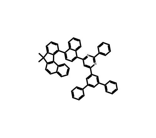 CC1(C)c2cccc(-c3ccc(-c4cc(-c5cc(-c6ccccc6)cc(-c6ccccc6)c5)nc(-c5ccccc5)n4)c4ccccc34)c2-c2c1ccc1ccccc21